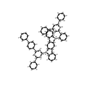 c1ccc(-c2ccc(-c3nc(-c4ccccc4)nc(-n4c5ccccc5c5cc6c(cc54)c4ccccc4n6-c4ccccc4-c4nc(-c5ccccc5)cc(-c5ccccc5)n4)n3)cc2)cc1